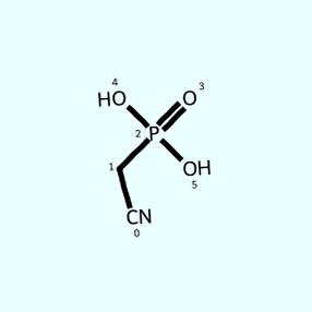 N#CCP(=O)(O)O